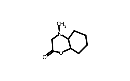 CN1CC(=O)OC2CCCCC21